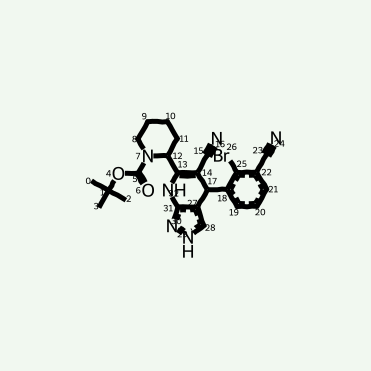 CC(C)(C)OC(=O)N1CCCCC1C1=C(C#N)C(c2cccc(C#N)c2Br)c2c[nH]nc2N1